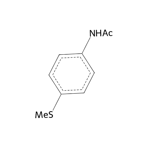 [CH2]Sc1ccc(NC(C)=O)cc1